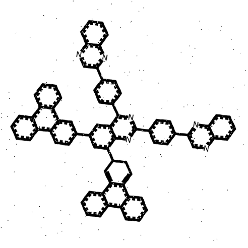 C1=c2c(c3ccccc3c3ccccc23)=CC(c2cc(-c3ccc4c5ccccc5c5ccccc5c4c3)cc3c(-c4ccc(-c5cnc6ccccc6n5)cc4)nc(-c4ccc(-c5cnc6ccccc6n5)cc4)nc23)C1